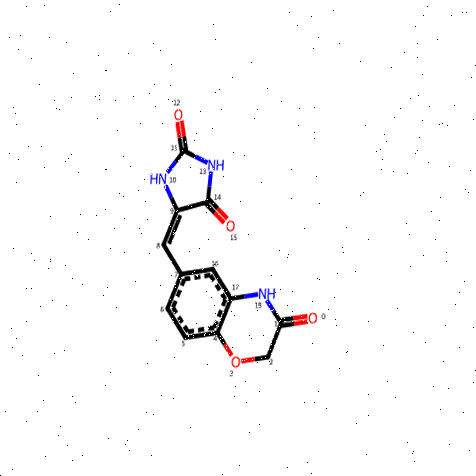 O=C1COc2ccc(C=C3NC(=O)NC3=O)cc2N1